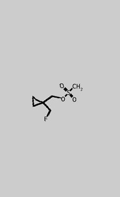 CS(=O)(=O)OCC1(CF)CC1